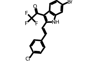 O=C(c1c(/C=C/c2ccc(Cl)cc2)[nH]c2cc(Br)ccc12)C(F)(F)F